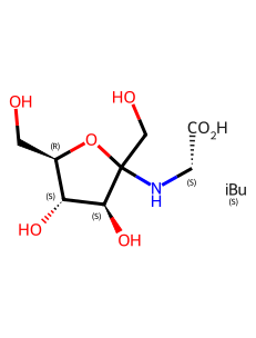 CC[C@H](C)[C@H](NC1(CO)O[C@H](CO)[C@@H](O)[C@@H]1O)C(=O)O